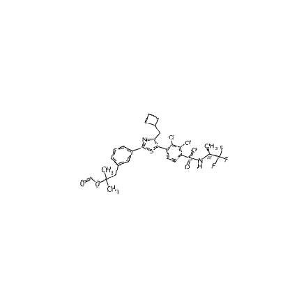 C[C@H](NS(=O)(=O)c1ccc(-c2sc(-c3cccc(CC(C)(C)OC=O)c3)nc2CC2CCC2)c(Cl)c1Cl)C(F)(F)F